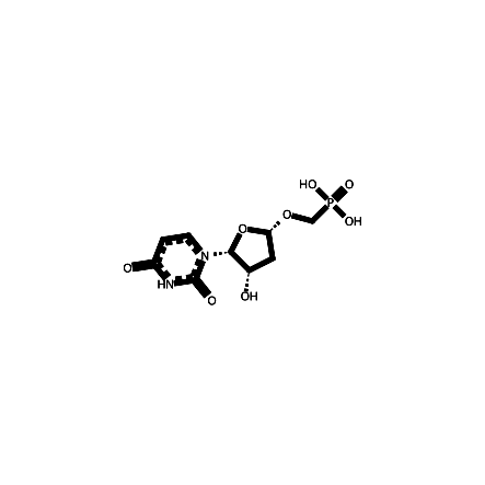 O=c1ccn([C@@H]2O[C@H](OCP(=O)(O)O)C[C@@H]2O)c(=O)[nH]1